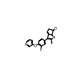 CC1=C(c2ccc(Oc3cccnc3)c(F)c2)C2=CCC(=O)C2=N1